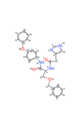 Cn1cnc(CC(=O)NC(COCc2ccccc2)C(=O)Nc2ccc(Oc3ccccc3)cc2)c1